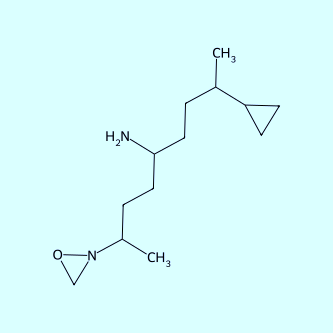 CC(CCC(N)CCC(C)N1CO1)C1CC1